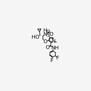 Cn1cc2c(c1C(=O)NC1=CC=C(F)C(F)C1)OC[C@H](C(O)C1CC1)NS2(=O)=O